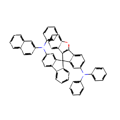 c1ccc(N(c2ccccc2)c2ccc3c(c2)C2(c4ccccc4-c4ccc(N(c5ccccc5)c5ccc6ccccc6c5)cc42)c2c-3oc3ccccc23)cc1